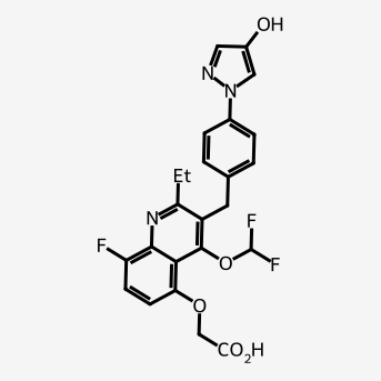 CCc1nc2c(F)ccc(OCC(=O)O)c2c(OC(F)F)c1Cc1ccc(-n2cc(O)cn2)cc1